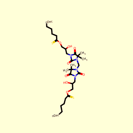 CCCCCCCCCCCCCCC(=S)OCC(O)CN1C(=O)N(CN2C(=O)N(CC(O)COC(=S)CCCCCCCCCCCCCC)C(=O)C2(C)C)C(C)(C)C1=O